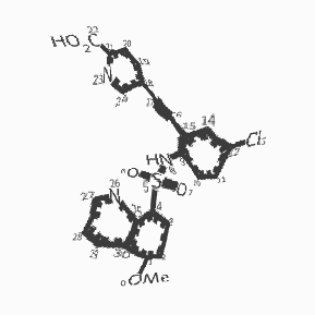 COc1ccc(S(=O)(=O)Nc2ccc(Cl)cc2C#Cc2ccc(C(=O)O)nc2)c2ncccc12